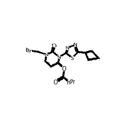 CCCC(=O)OC1CCN(CBr)C(=O)N1c1nnc(C2CCC2)s1